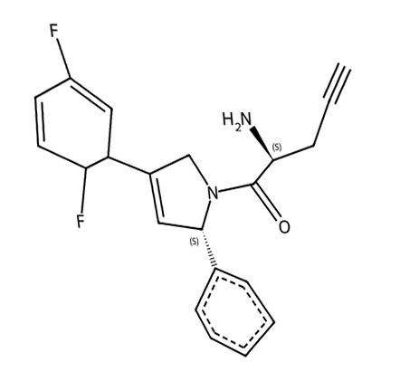 C#CC[C@H](N)C(=O)N1CC(C2C=C(F)C=CC2F)=C[C@H]1c1ccccc1